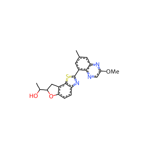 COc1cnc2c(-c3nc4ccc5c(c4s3)CC(C(C)O)O5)cc(C)cc2n1